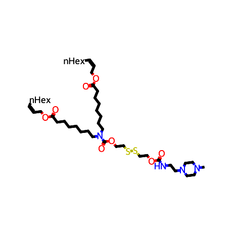 CCCCCC/C=C\COC(=O)CCCCCCCN(CCCCCCCC(=O)OC/C=C\CCCCCC)C(=O)OCCSSCCOC(=O)NCCN1CCN(C)CC1